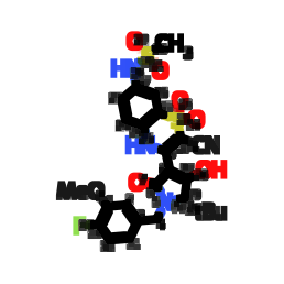 COc1cc(CN2C(=O)C(C3=C(C#N)S(=O)(=O)c4cc(NS(C)(=O)=O)ccc4N3)=C(O)[C@@H]2C(C)(C)C)ccc1F